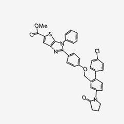 COC(=O)c1cc2nc(-c3ccc(OCc4cc(N5CCCC5=O)ccc4-c4ccc(Cl)cc4)cc3)n(-c3ccccc3)c2s1